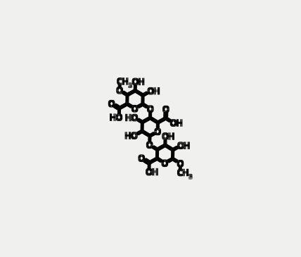 COC1OC(C(=O)O)C(OC2OC(C(=O)O)C(OC3OC(C(=O)O)C(OC)C(O)C3O)C(O)C2O)C(O)C1O